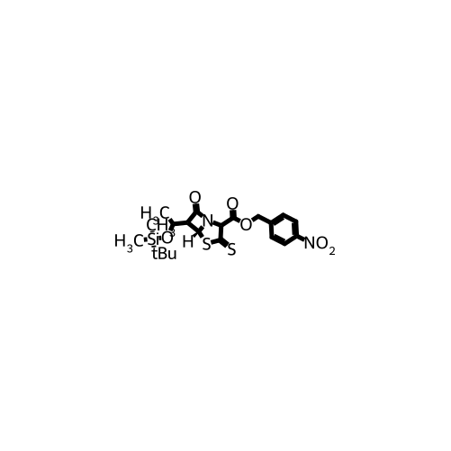 CC(O[Si](C)(C)C(C)(C)C)C1C(=O)N2C(C(=O)OCc3ccc([N+](=O)[O-])cc3)C(=S)S[C@H]12